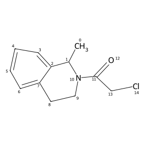 CC1c2ccccc2CCN1C(=O)CCl